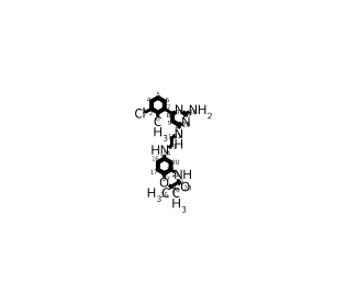 Cc1c(Cl)cccc1-c1cc(NCCNc2ccc3c(c2)NC(=O)C(C)(C)O3)nc(N)n1